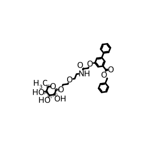 C[C@@H]1O[C@@H](OCCOCCNC(=O)COc2cc(C(=O)OCc3ccccc3)cc(-c3ccccc3)c2)[C@H](O)[C@H](O)[C@H]1O